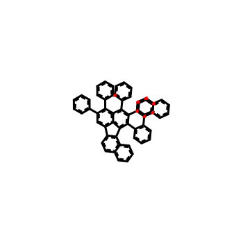 c1ccc(-c2cc3c4c(c(-c5ccccc5-c5cccc6ccccc56)c(-c5ccccc5)c(-c5ccccc5)c4c2-c2ccccc2)-c2c-3ccc3ccccc23)cc1